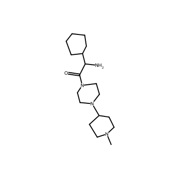 CN1CCC(N2CCN(C(=O)C(N)C3CCCCC3)CC2)CC1